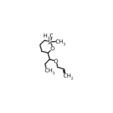 C=CCOC(CC)C1CCC[Si](C)(C)O1